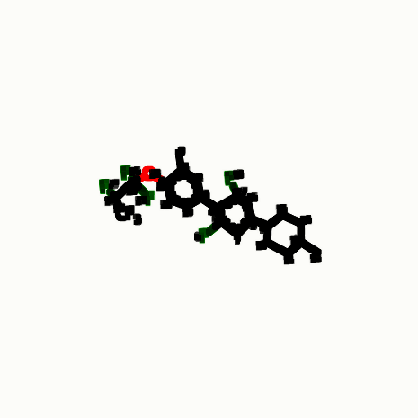 Cc1cc(-c2c(F)cc(C3CCC(C)CC3)cc2F)ccc1OC(F)(F)C(F)C(F)(F)F